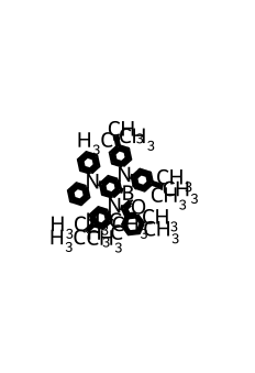 Cc1cc(C(C)(C)C)ccc1N1c2cc(N(c3ccccc3)c3ccccc3)cc3c2B(c2cc(C(C)(C)C)ccc2N3c2ccc(C(C)(C)C)cc2)c2oc3c(c21)C(C)(C)CCC3(C)C